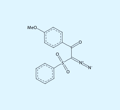 COc1ccc(C(=O)C(=[N+]=[N-])S(=O)(=O)c2ccccc2)cc1